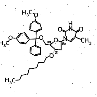 CCCCCCCCCO[C@H]1C[C@H](n2cc(C)c(=O)[nH]c2=O)O[C@@H]1COC(c1ccccc1)(c1ccc(OC)cc1)c1ccc(OC)cc1